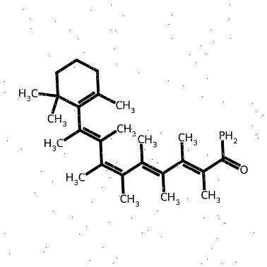 CC1=C(/C(C)=C(C)/C(C)=C(C)\C(C)=C(C)\C(C)=C(/C)C(=O)P)C(C)(C)CCC1